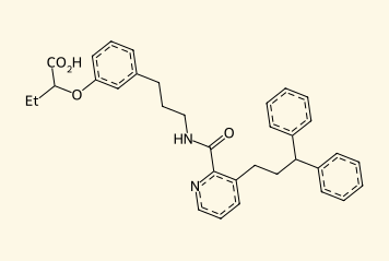 CCC(Oc1cccc(CCCNC(=O)c2ncccc2CCC(c2ccccc2)c2ccccc2)c1)C(=O)O